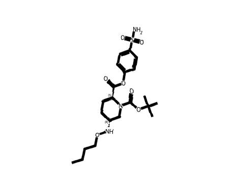 CCCCON[C@@H]1CC[C@@H](C(=O)Oc2ccc(S(N)(=O)=O)cc2)N(C(=O)OC(C)(C)C)C1